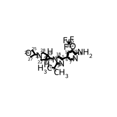 CC(C)c1nc(-c2cnc(N)c(OC(F)(F)F)c2)cn1C1[C@H]2CN(C3COC3)C[C@@H]12